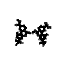 COC(=O)C1CCN(C(=O)OC)C(c2ccc(C(F)(F)F)cc2C)C1.COC(=O)N1CCC(C(=O)O)CC1c1ccc(C(F)(F)F)cc1C